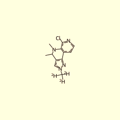 [2H]C([2H])([2H])n1cc2c(n1)-c1ccnc(Cl)c1N(C)C2C